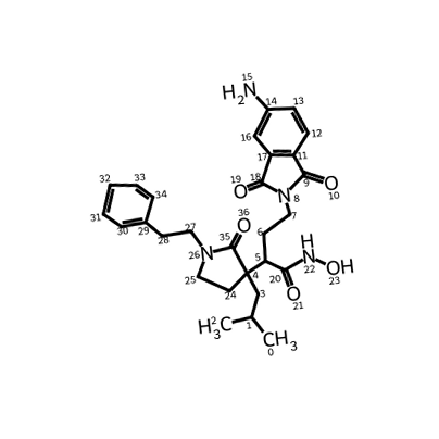 CC(C)CC1(C(CCN2C(=O)c3ccc(N)cc3C2=O)C(=O)NO)CCN(CCc2ccccc2)C1=O